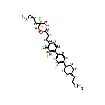 CCCC1CCC(c2ccc(-c3ccc(CCC4OCC(F)(CCC)CO4)c(F)c3F)cc2F)CC1